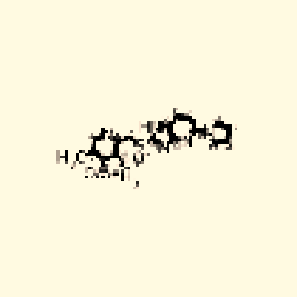 COc1c(C)cnc(C[S+]([O-])c2nc3nc(-n4cccc4)ccc3[nH]2)c1C